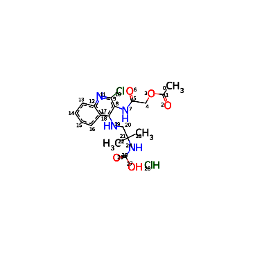 CC(=O)OCC(=O)Nc1c(Cl)nc2ccccc2c1NCC(C)(C)NC(=O)O.Cl